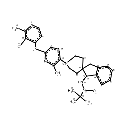 Cc1nc(Sc2ccnc(N)c2Cl)cnc1N1CCC2(CC1)Cc1ccccc1[C@H]2N[S+]([O-])C(C)(C)C